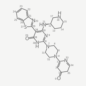 O=C1C=C(N2CCN(c3nc(N[C@@H]4CCCNC4)c(-c4nc5ccccc5s4)c(=O)[nH]3)CC2)N=CC1